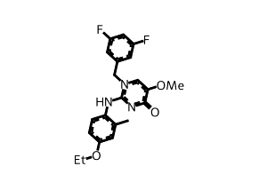 CCOc1ccc(Nc2nc(=O)c(OC)cn2Cc2cc(F)cc(F)c2)c(C)c1